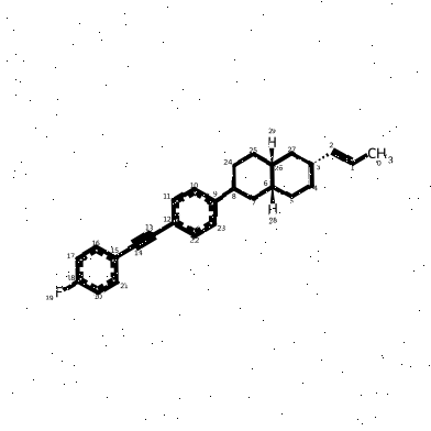 CC=C[C@@H]1CC[C@@H]2CC(c3ccc(C#Cc4ccc(F)cc4)cc3)CC[C@@H]2C1